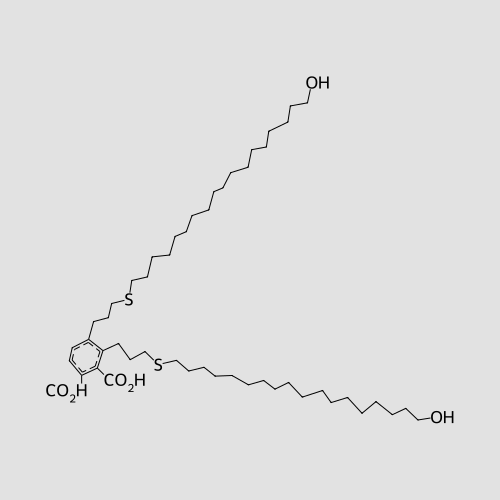 O=C(O)c1ccc(CCCSCCCCCCCCCCCCCCCCCCO)c(CCCSCCCCCCCCCCCCCCCCCCO)c1C(=O)O